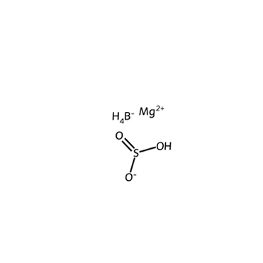 O=S([O-])O.[BH4-].[Mg+2]